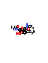 Cc1ccc(C(=O)O)cc1C1(OCO)c2ccc(NC(=O)C(F)(F)F)cc2Oc2cc(NC(=O)C(F)(F)F)ccc21